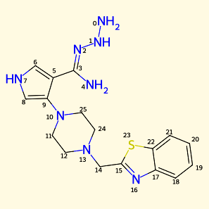 NN/N=C(\N)c1c[nH]cc1N1CCN(Cc2nc3ccccc3s2)CC1